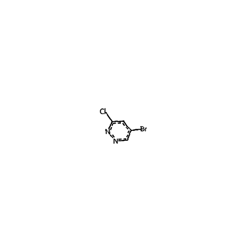 Clc1cc(Br)cnn1